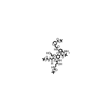 C[C@@H]([C@@H](O)[C@H](OCCO)O[C@@H]1[C@@H](O)[C@H](O[C@H]2OC(CN)=CC[C@H]2NC(=O)CC2CN(C(=O)OC(C)(C)C)CCO2)[C@@H](NC(=O)OC(C)(C)C)C[C@H]1NC(=O)[C@@H](O)CCNC(=O)OC(C)(C)C)N(C)C(=O)OC(C)(C)C